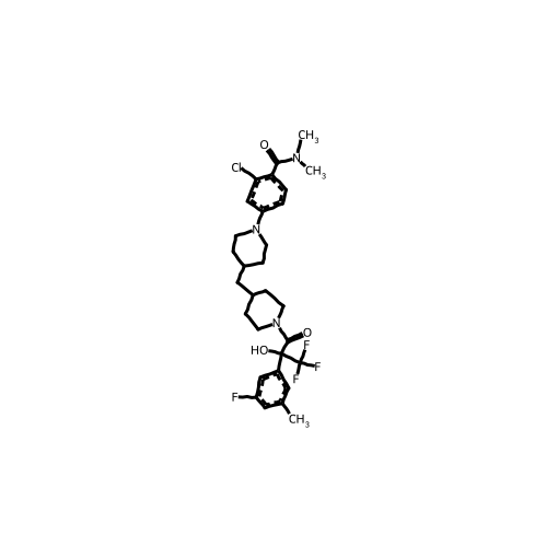 Cc1cc(F)cc(C(O)(C(=O)N2CCC(CC3CCN(c4ccc(C(=O)N(C)C)c(Cl)c4)CC3)CC2)C(F)(F)F)c1